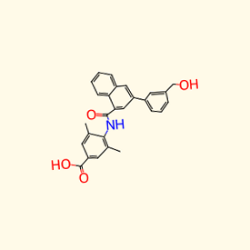 Cc1cc(C(=O)O)cc(C)c1NC(=O)c1cc(-c2cccc(CO)c2)cc2ccccc12